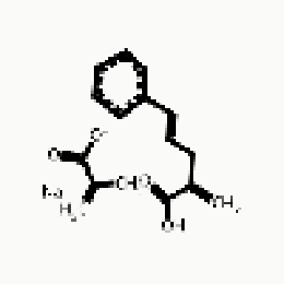 C=C(C)C(=O)[O-].C=C(CC=Cc1ccccc1)C(=O)O.[Na+]